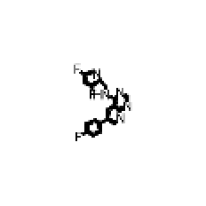 Fc1ccc(-c2cnc3ncnc(NCc4ncc(F)cc4F)c3c2)cc1